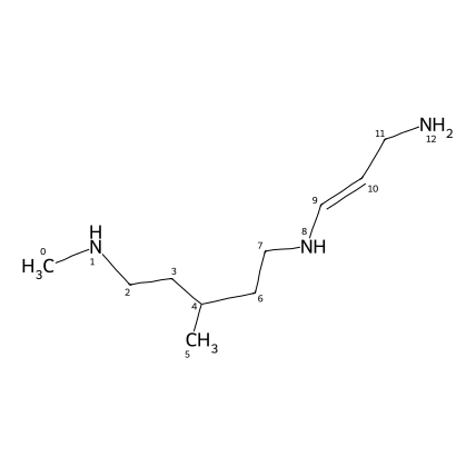 CNCCC(C)CCN/C=C/CN